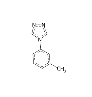 Cc1cccc(-n2cnnc2)c1